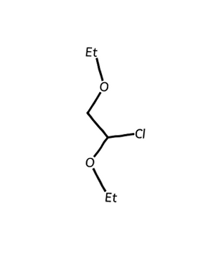 [CH2]COCC(Cl)OCC